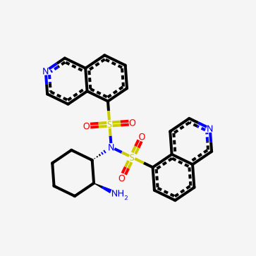 N[C@H]1CCCC[C@@H]1N(S(=O)(=O)c1cccc2cnccc12)S(=O)(=O)c1cccc2cnccc12